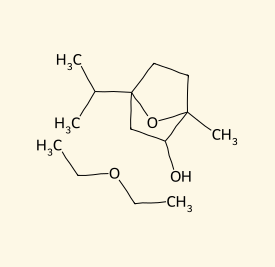 CC(C)C12CCC(C)(O1)C(O)C2.CCOCC